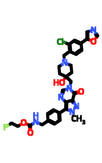 Cn1nc2c(=O)n(CC3(O)CCN(Cc4ccc(-c5cnco5)cc4Cl)CC3)cnc2c1-c1ccc(CNC(=O)OCCF)cc1